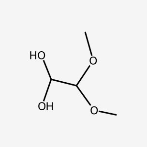 COC(OC)C(O)O